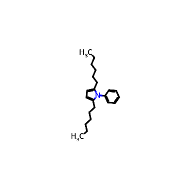 CCCCCCc1ccc(CCCCCC)n1-c1ccccc1